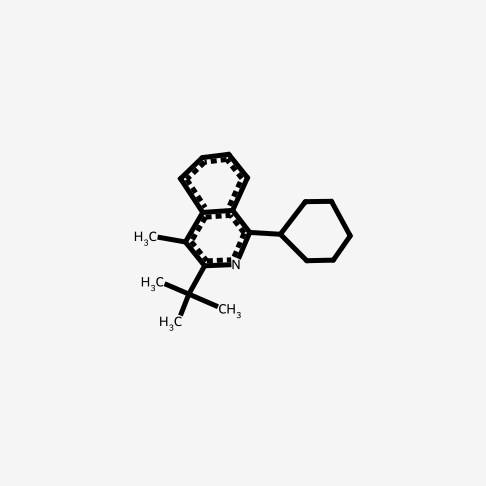 Cc1c(C(C)(C)C)nc(C2CCCCC2)c2ccccc12